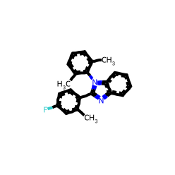 Cc1cc(F)ccc1-c1nc2ccccc2n1-c1c(C)cccc1C